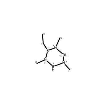 CCB1N(C)BN(C)BN1C